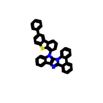 c1ccc(-c2ccc3sc4c(-n5c6ccccc6c6nc7c8ccccc8c8ccccc8n7c65)cccc4c3c2)cc1